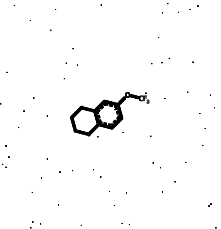 FC(F)(F)Oc1ccc2c(c1)CCC[CH]2